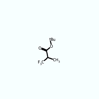 CC(C(=O)OC(C)(C)C)C(F)(F)F